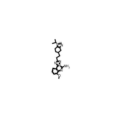 COc1cccc2c1nc(N)n1nc(CCC3CCc4c(nnn4C(C)C)C3)nc21